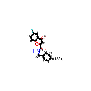 COc1ccc([C@@H](C)NC(=O)c2cc(=O)c3cc(F)ccc3o2)cc1